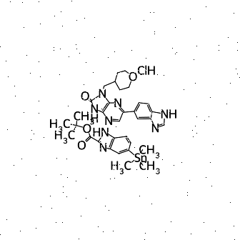 CC(C)(C)OC(=O)c1nc2c[c]([Sn]([CH3])([CH3])[CH3])ccc2[nH]1.Cl.O=c1[nH]c2ncc(-c3ccc4[nH]cnc4c3)nc2n1CC1CCOCC1